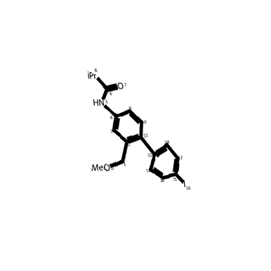 COCc1cc(NC(=O)C(C)C)ccc1-c1ccc(I)cc1